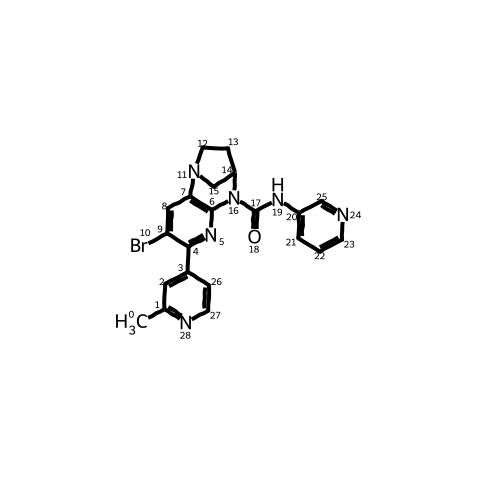 Cc1cc(-c2nc3c(cc2Br)N2CCC(C2)N3C(=O)Nc2cccnc2)ccn1